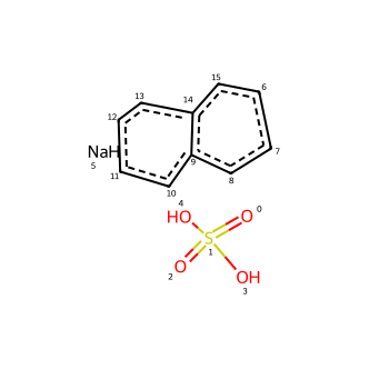 O=S(=O)(O)O.[NaH].c1ccc2ccccc2c1